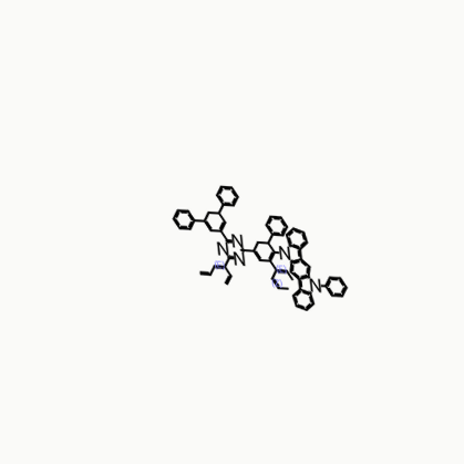 C=C/C=C(\C=C)c1nc(C2=CC(c3ccccc3)CC(c3ccccc3)=C2)nc(C2=CC(C(/C=C\C)=C/C)=C(n3c4ccccc4c4cc5c(cc43)c3ccccc3n5-c3ccccc3)C(c3ccccc3)C2)n1